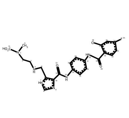 CN(CCNCc1[nH]cnc1C(=O)Nc1ccc(NC(=O)c2ccc(F)cc2Cl)cc1)C(=O)O